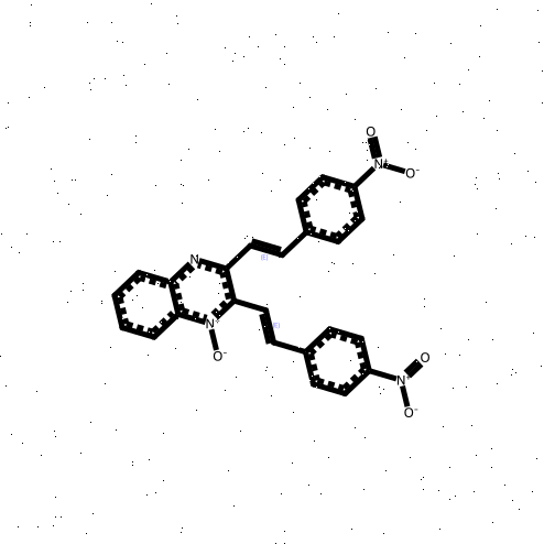 O=[N+]([O-])c1ccc(/C=C/c2nc3ccccc3[n+]([O-])c2/C=C/c2ccc([N+](=O)[O-])cc2)cc1